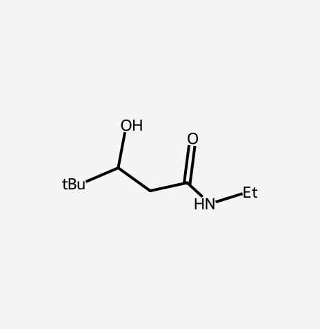 CCNC(=O)CC(O)C(C)(C)C